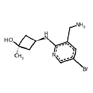 C[C@]1(O)C[C@@H](Nc2ncc(Br)cc2CN)C1